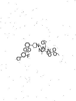 CCOC(=O)c1nc(-c2c(C)nc(CN3CCC(c4cccc5c4OC(C)(c4ccc(Cl)cc4F)O5)CC3)n2CC2CCO2)co1